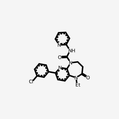 CCN1C(=O)CCN(C(=O)Nc2ccccn2)c2nc(-c3cccc(Cl)c3)ccc21